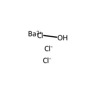 OCl.[Ba+2].[Cl-].[Cl-]